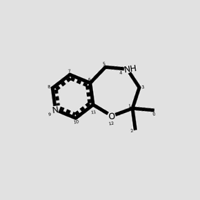 CC1(C)CNCc2ccncc2O1